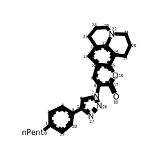 CCCCCc1ccc(-c2cn(-c3cc4cc5c6c(c4oc3=O)CCCN6CCC5)nn2)cc1